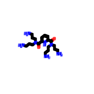 NCCCN(CCCN)C(=O)C1=CC=CC(C(=O)N(CCCN)CCCN)N1